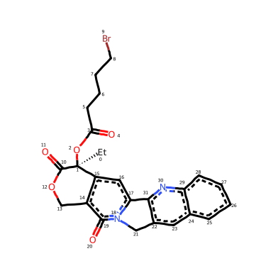 CC[C@@]1(OC(=O)CCCCBr)C(=O)OCc2c1cc1n(c2=O)Cc2cc3ccccc3nc2-1